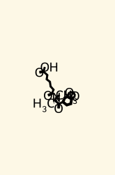 C[C@H](C(=O)c1ccc2c(c1)OCO2)N(C)C(=O)CCCCCC(=O)O